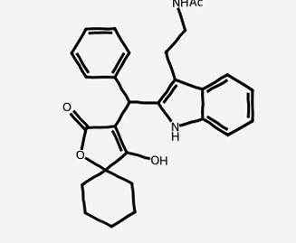 CC(=O)NCCc1c(C(C2=C(O)C3(CCCCC3)OC2=O)c2ccccc2)[nH]c2ccccc12